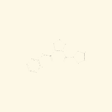 O=C(Nc1ccccc1)C1CCCN1C(=O)C1CCCN1